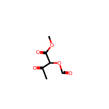 COC(=O)C(OC=O)C(C)=O